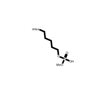 CCCCCCCCCCCOP(=O)(O)OC